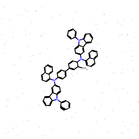 CC1C=C(c2ccc(N(c3ccc4c(c3)c3ccccc3n4-c3c#cccc3)c3cccc4ccccc34)cc2)C=CC1N(c1ccc2c(c1)c1ccccc1n2-c1ccccc1)c1cccc2ccccc12